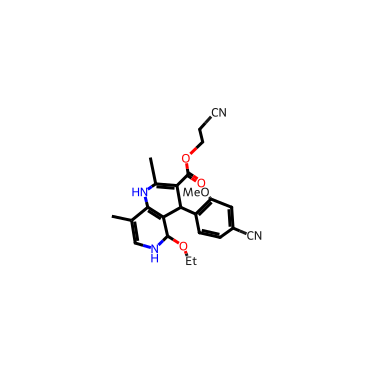 CCOC1NC=C(C)C2=C1C(c1ccc(C#N)cc1OC)C(C(=O)OCCC#N)=C(C)N2